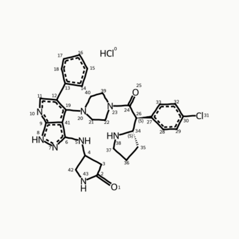 Cl.O=C1CC(Nc2n[nH]c3ncc(-c4ccccc4)c(N4CCN(C(=O)[C@@H](c5ccc(Cl)cc5)[C@@H]5CCCN5)CC4)c23)CN1